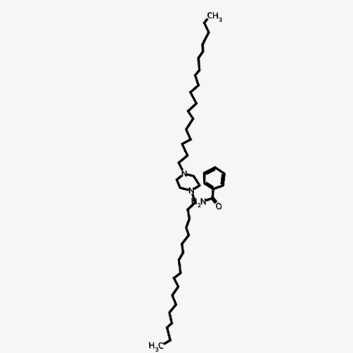 CCCCCCCCCCCCCCCCCCN1CCN(CCCCCCCCCCCCCCCCCC)CC1.NC(=O)c1ccccc1